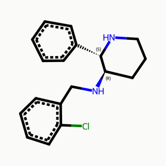 Clc1ccccc1CN[C@@H]1CCCN[C@H]1c1ccccc1